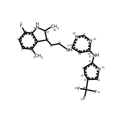 Cc1ccc(F)c2c1C(CCNc1cc(Nc3ccc(C(F)(F)F)cn3)ncn1)C(C)N2